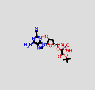 CC(C)(C)OC(=O)C(OC[C@@H]1C[C@@H](O)[C@H](n2cnc3c(N)nc(C#N)nc32)O1)P(=O)(O)O